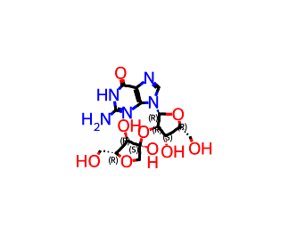 Nc1nc2c(ncn2[C@@H]2O[C@H](CO)[C@H](O)[C@H]2O[C@@]2(O)CO[C@H](CO)[C@H]2O)c(=O)[nH]1